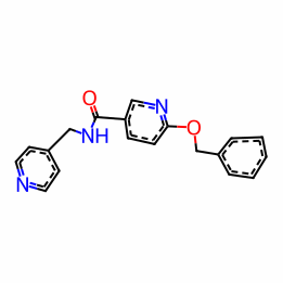 O=C(NCc1ccncc1)c1ccc(OCc2ccccc2)nc1